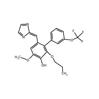 CCCOc1c(O)c(OC)cc(C=C2N=CC=N2)c1-c1cccc(OC(F)(F)F)c1